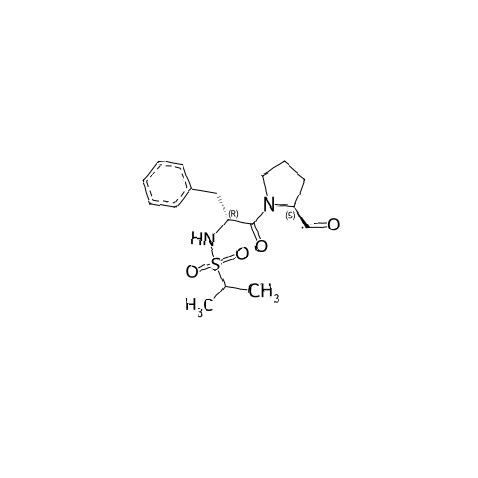 CC(C)S(=O)(=O)N[C@H](Cc1ccccc1)C(=O)N1CCC[C@H]1[C]=O